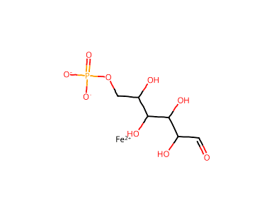 O=CC(O)C(O)C(O)C(O)COP(=O)([O-])[O-].[Fe+2]